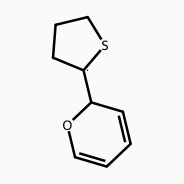 C1=COC([C]2CCCS2)C=C1